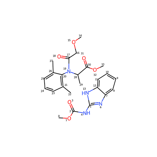 COC(=O)Nc1nc2ccccc2[nH]1.COCC(=O)N(c1c(C)cccc1C)C(C)C(=O)OC